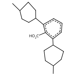 CC1CCC(c2cccc(C3CCC(C)CC3)c2C(=O)O)CC1